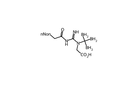 BC(B)(B)N(CC(=O)O)C(=N)NC(=O)CCCCCCCCCC